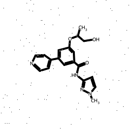 CC(CO)Oc1cc(C(=O)Nc2ccn(C)n2)cc(-c2ccncc2)c1